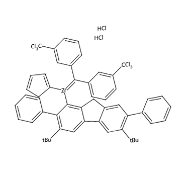 CC(C)(C)c1cc2c(cc1-c1ccccc1)Cc1c-2cc(C(C)(C)C)c(-c2ccccc2)[c]1[Zr]([C]1=CC=CC1)=[C](c1cccc(C(Cl)(Cl)Cl)c1)c1cccc(C(Cl)(Cl)Cl)c1.Cl.Cl